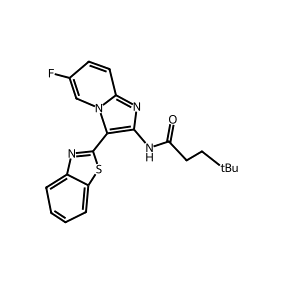 CC(C)(C)CCC(=O)Nc1nc2ccc(F)cn2c1-c1nc2ccccc2s1